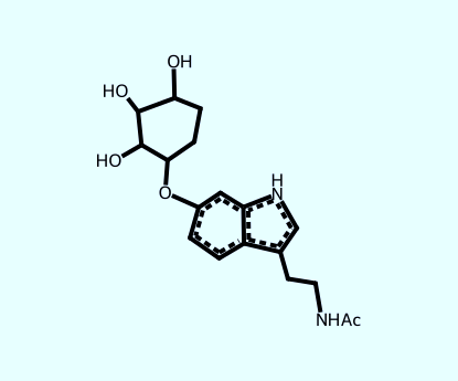 CC(=O)NCCc1c[nH]c2cc(OC3CCC(O)C(O)C3O)ccc12